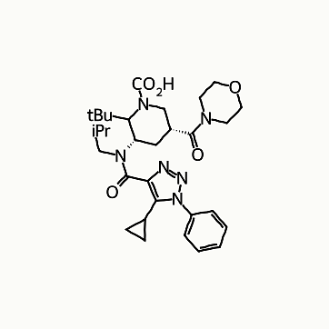 CC(C)CN(C(=O)c1nnn(-c2ccccc2)c1C1CC1)[C@H]1C[C@@H](C(=O)N2CCOCC2)CN(C(=O)O)C1C(C)(C)C